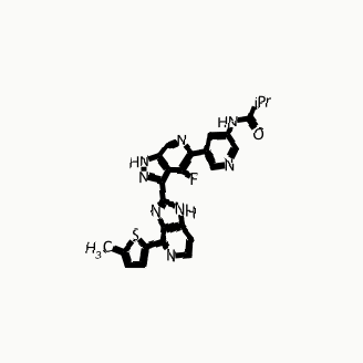 Cc1ccc(-c2nccc3[nH]c(-c4n[nH]c5cnc(-c6cncc(NC(=O)C(C)C)c6)c(F)c45)nc23)s1